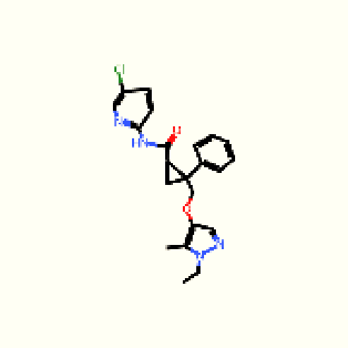 CCn1ncc(OCC2(c3ccccc3)CC2C(=O)Nc2ccc(Cl)cn2)c1C